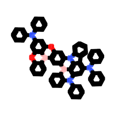 c1ccc(N(c2ccccc2)c2cc3c4c(c2)Oc2cc5c(cc2B4c2ccccc2O3)B2c3ccccc3N(c3ccccc3)c3cc(N(c4ccccc4)c4ccccc4)c4c6ccccc6n-5c4c32)cc1